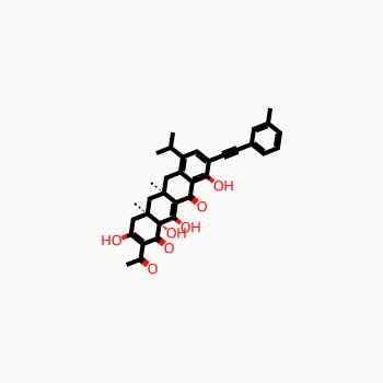 CC(=O)C1=C(O)C[C@@]2(C)C[C@@]3(C)Cc4c(C(C)C)cc(C#Cc5cccc(C)c5)c(O)c4C(=O)C3=C(O)[C@@]2(O)C1=O